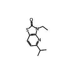 CCn1c(=O)sc2ccc(C(C)C)nc21